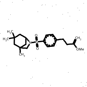 C=C(CCc1ccc(S(=O)(=O)N2CC3(C)CC2CC(C)(C)C3)cc1)OC